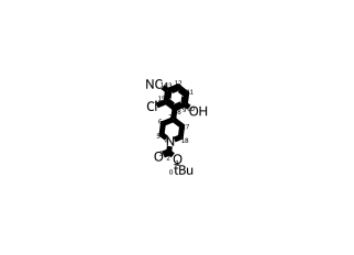 CC(C)(C)OC(=O)N1CCC(c2c(O)ccc(C#N)c2Cl)CC1